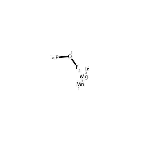 FOF.[Li].[Mg].[Mn]